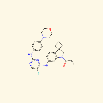 C=CC(=O)N1CC2(CCC2)c2ccc(Nc3nc(Nc4ccc(N5CCOCC5)cc4)ncc3F)cc21